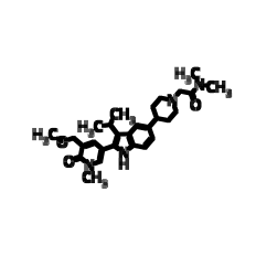 COCc1cc(-c2[nH]c3ccc(C4CCN(CC(=O)N(C)C)CC4)cc3c2C(C)C)cn(C)c1=O